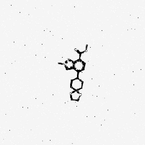 COC(=O)c1ccc(C2CCC3(CC2)OCCO3)c2cn(C)nc12